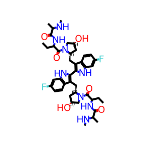 CCC(NC(=O)C(C)NC)C(=O)N1C[C@@H](O)C[C@H]1Cc1c(-c2[nH]c3cc(F)ccc3c2C[C@@H]2C[C@H](O)CN2C(=O)C(CC)NC(=O)C(C)NC)[nH]c2cc(F)ccc12